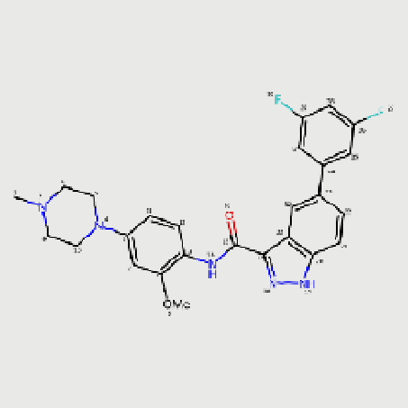 COc1cc(N2CCN(C)CC2)ccc1NC(=O)c1n[nH]c2ccc(-c3cc(F)cc(F)c3)cc12